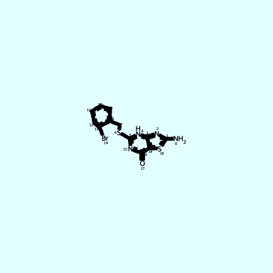 Nc1nc2[nH]c(SCc3ccccc3Br)nc(=O)c2s1